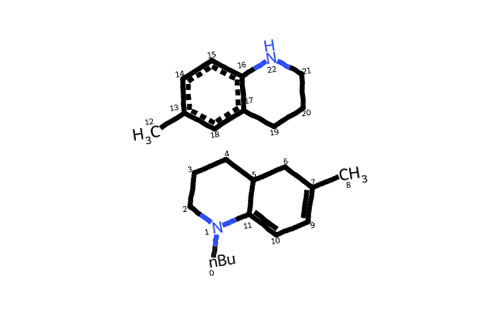 CCCCN1CCCC2CC(C)=CC=C21.Cc1ccc2c(c1)CCCN2